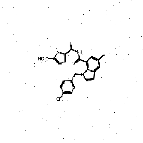 Cc1cc(C(=O)NC(C)c2ccc(C(=O)O)s2)c2c(ccn2Cc2ccc(Cl)cc2)c1